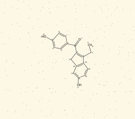 CCC1=C(C(=O)c2ccc(O)cc2)Cc2cc(O)ccc21